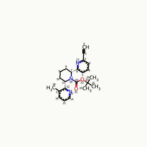 C#Cc1cccc([C@H]2CCC[C@@H](c3ncccc3C)N2C(=O)OC(C)(C)C)n1